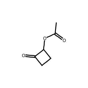 CC(=O)OC1CCC1=O